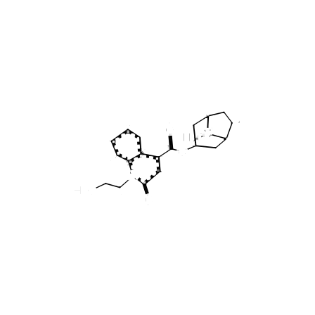 CCCn1c(=O)cc(C(=O)OC2CC3CCC(C2)N3C)c2ccccc21